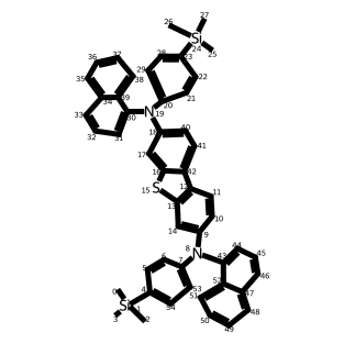 C[Si](C)(C)c1ccc(N(c2ccc3c(c2)sc2cc(N(c4ccc([Si](C)(C)C)cc4)c4cccc5ccccc45)ccc23)c2cccc3ccccc23)cc1